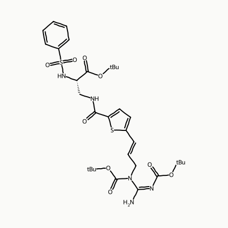 CC(C)(C)OC(=O)/N=C(/N)N(CC=Cc1ccc(C(=O)NC[C@H](NS(=O)(=O)c2ccccc2)C(=O)OC(C)(C)C)s1)C(=O)OC(C)(C)C